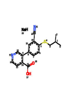 CC(C)CSc1ccc(-c2cnccc2C(=O)O)cc1C#N.[NaH]